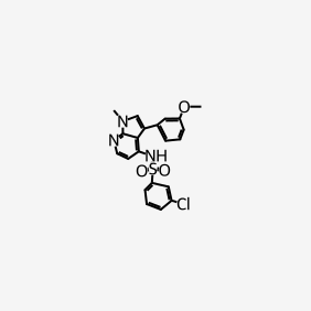 COc1cccc(-c2cn(C)c3nccc(NS(=O)(=O)c4cccc(Cl)c4)c23)c1